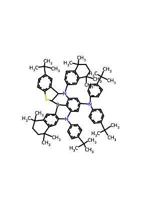 CC(C)(C)c1ccc(N(c2ccc(C(C)(C)C)cc2)c2cc3c4c(c2)N(c2ccc5c(c2)C(C)(C)CCC5(C)C)C2c5cc(C(C)(C)C)ccc5SC2B4c2cc4c(cc2N3c2ccc(C(C)(C)C)cc2)C(C)(C)CCC4(C)C)cc1